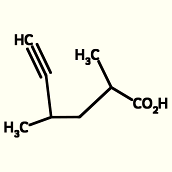 C#CC(C)CC(C)C(=O)O